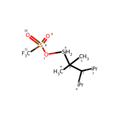 CC(C)C(C(C)C)C(C)(C)[SiH2]OS(=O)(=O)C(F)(F)F